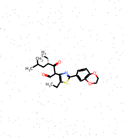 CCc1sc(-c2ccc3c(c2)OCCO3)nc1C(C=O)C(=O)[C@@H](CC)CC(C)C